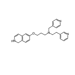 C1=Cc2cc(OCCCN(CCc3cccnc3)Cc3ccncc3)ccc2CN1